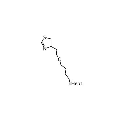 CCCCCCCCCCCCCCC1CS[C]=N1